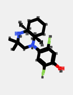 CC1(C)CN(c2cc(F)c(O)cc2F)[C@H]2CCCC[C@@H]2N1